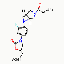 CC(=O)NC[C@H]1CN(c2ccc(N3C[C@H]4CN(C(=O)COC(C)=O)C[C@H]43)c(F)c2)C(=O)O1